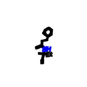 C#CC(C)(CC)NC(=C)CCc1ccccc1